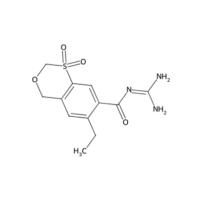 CCc1cc2c(cc1C(=O)N=C(N)N)S(=O)(=O)COC2